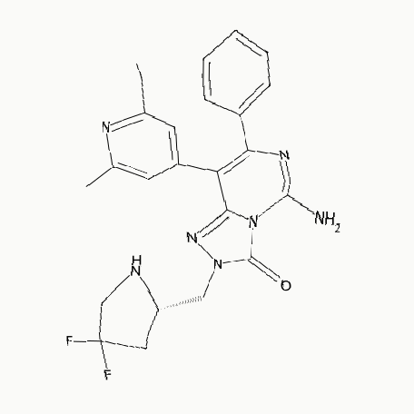 Cc1cc(-c2c(-c3ccccc3)nc(N)n3c(=O)n(C[C@@H]4CC(F)(F)CN4)nc23)cc(C)n1